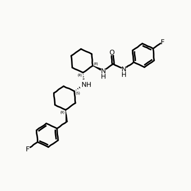 O=C(Nc1ccc(F)cc1)N[C@@H]1CCCC[C@H]1N[C@H]1CCC[C@H](Cc2ccc(F)cc2)C1